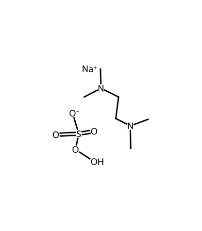 CN(C)CCN(C)C.O=S(=O)([O-])OO.[Na+]